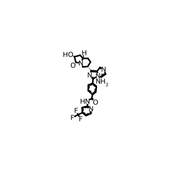 N[N+]12C=CN=CC1=C([C@H]1CC[C@H]3C[C@@H](O)C(=O)N3C1)N=C2c1ccc(C(=O)Nc2cc(C(F)(F)F)ccn2)cc1